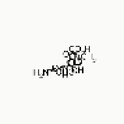 CC1CCc2cc(NCCOCCN)cc3c(=O)c(C(=O)O)cn1c23.O=CO